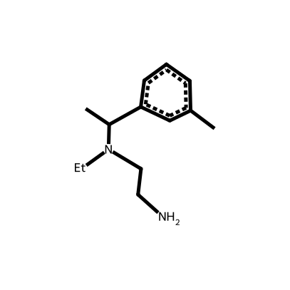 CCN(CCN)C(C)c1cccc(C)c1